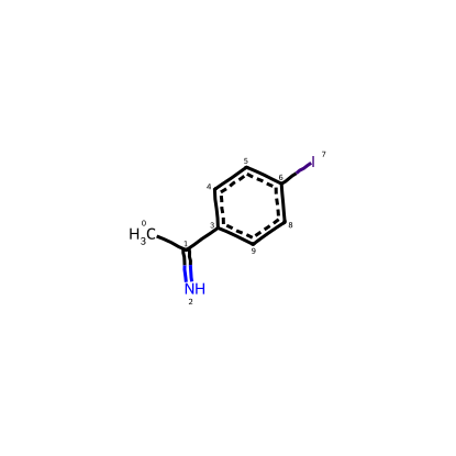 CC(=N)c1ccc(I)cc1